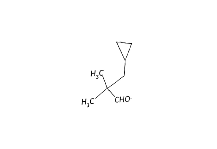 CC(C)([C]=O)CC1CC1